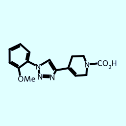 COc1ccccc1-n1cc(C2=CCN(C(=O)O)CC2)nn1